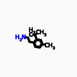 Cc1ccc(CCN)c(C(C)C)c1